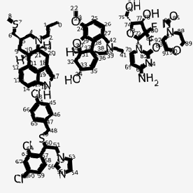 CCCN1C[C@H](CSC)C[C@@H]2c3cccc4[nH]cc(c34)C[C@H]21.COc1ccc2c3c1O[C@H]1C[C@@H](O)C=C[C@@]31CCN(C)C2.Clc1ccc(CSC(Cn2ccnc2)c2ccc(Cl)cc2Cl)cc1.Nc1ccn([C@@H]2O[C@H](CO)[C@@H](O)C2(F)F)c(=O)n1.O=NN1CCOCC1